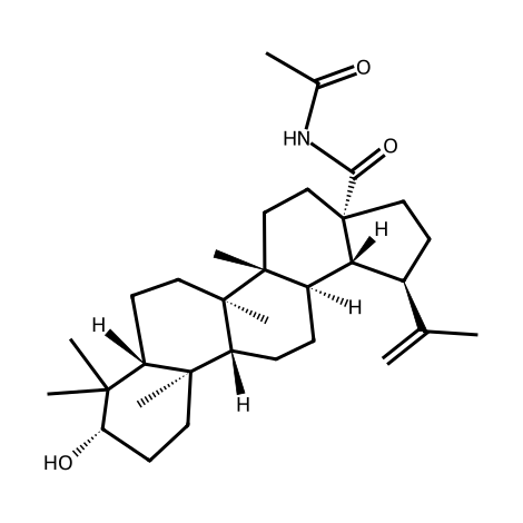 C=C(C)[C@@H]1CC[C@]2(C(=O)NC(C)=O)CC[C@]3(C)[C@H](CC[C@@H]4[C@@]5(C)CC[C@H](O)C(C)(C)[C@@H]5CC[C@]43C)[C@@H]12